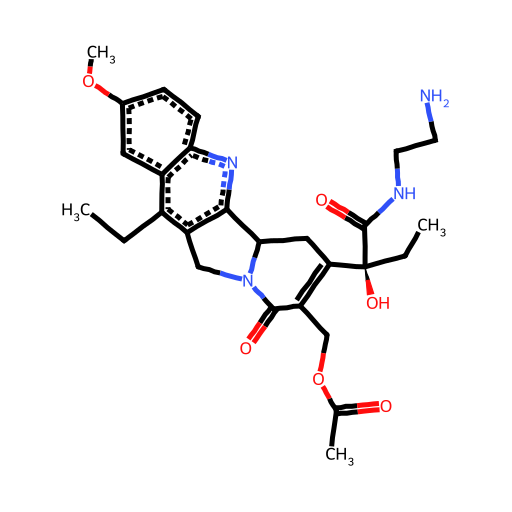 CCc1c2c(nc3ccc(OC)cc13)C1CC([C@@](O)(CC)C(=O)NCCN)=C(COC(C)=O)C(=O)N1C2